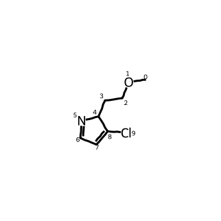 COCCC1N=CC=C1Cl